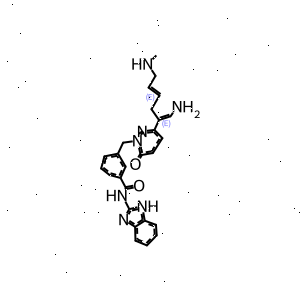 CNC/C=C/C/C(=C\N)c1ccc(=O)n(Cc2cccc(C(=O)Nc3nc4ccccc4[nH]3)c2)n1